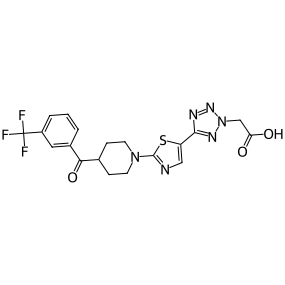 O=C(O)Cn1nnc(-c2cnc(N3CCC(C(=O)c4cccc(C(F)(F)F)c4)CC3)s2)n1